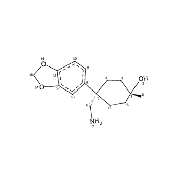 C[C@]1(O)CC[C@](CN)(c2ccc3c(c2)OCO3)CC1